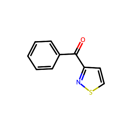 O=C(c1ccccc1)c1ccsn1